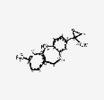 N#CC1(c2ccc3c(c2)NCc2ccc(C(F)(F)F)nc2N3)CC1